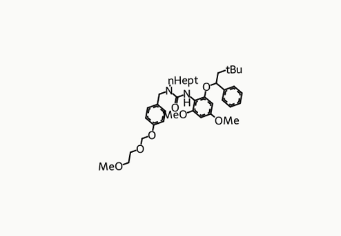 CCCCCCCN(Cc1ccc(OCOCCOC)cc1)C(=O)Nc1c(OC)cc(OC)cc1OC(CC(C)(C)C)c1ccccc1